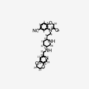 N#Cc1ccc2c(c1)N(CC[C@@H]1CC[C@@H](NCc3cc4c(cn3)OCCO4)CN1)C(=O)CO2